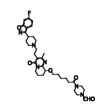 Cc1nc2n(c(=O)c1CCN1CCC(c3noc4cc(F)ccc34)CC1)CCCC2OCCCCCC(=O)N1CCN(C=O)CC1